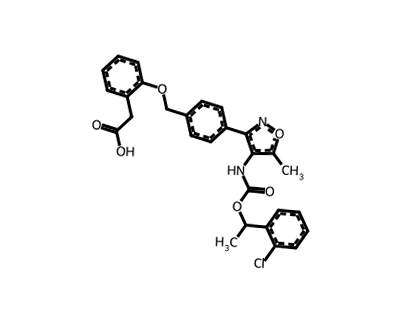 Cc1onc(-c2ccc(COc3ccccc3CC(=O)O)cc2)c1NC(=O)OC(C)c1ccccc1Cl